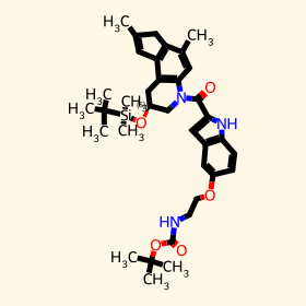 CC1=Cc2c(c(C)cc3c2C[C@H](O[Si](C)(C)C(C)(C)C)CN3C(=O)c2cc3cc(OCCNC(=O)OC(C)(C)C)ccc3[nH]2)C1